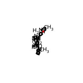 COc1cc(-c2nn(C3CCC(N4CCN(C)CC4N)CC3)c3ncnc(N)c23)ccc1NC(=O)c1cc2ccccc2n1C